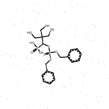 O=P(OCc1ccccc1)(OCc1ccccc1)OC(C(CO)(CO)CO)P(=O)(O)O